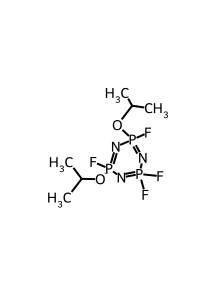 CC(C)OP1(F)=NP(F)(F)=NP(F)(OC(C)C)=N1